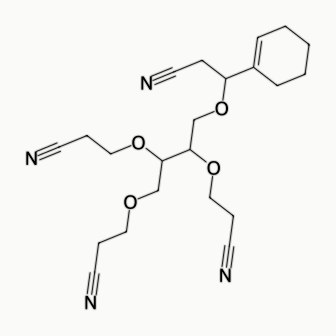 N#CCCOCC(OCCC#N)C(COC(CC#N)C1=CCCCC1)OCCC#N